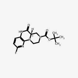 CC(C)(C)OC(=O)N1CCN2c3nc(F)ccc3NC(=O)[C@@H]2C1